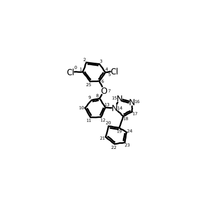 Clc1ccc(Cl)c(Oc2ccccc2-n2nncc2-c2ccccc2)c1